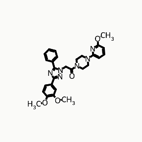 COc1cccc(N2CCN(C(=O)Cn3nc(-c4ccc(OC)c(OC)c4)nc3-c3ccccc3)CC2)n1